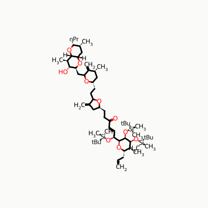 C=CC[C@@H]1O[C@@H]([C@H](/C=C/C(=O)CC[C@H]2CC(=C)C(CC[C@H]3C[C@@H](C)C(=C)C(C[C@@H]4O[C@H]5C[C@@H](C)[C@@H](CCC)O[C@H]5[C@H](C)[C@H]4O)O3)O2)O[Si](C)(C)C(C)(C)C)[C@@H](O[Si](C)(C)C(C)(C)C)[C@@H](O[Si](C)(C)C(C)(C)C)[C@H]1C